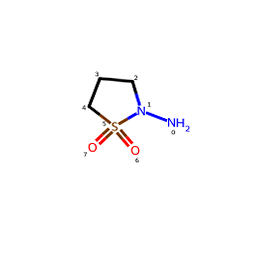 NN1CCCS1(=O)=O